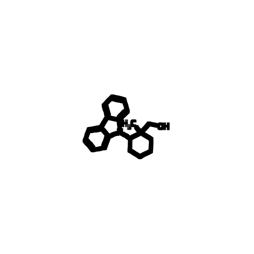 CC1(CO)CCCCC1n1c2ccccc2c2ccccc21